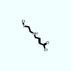 CCSCCNC/C=C/C(=O)CC